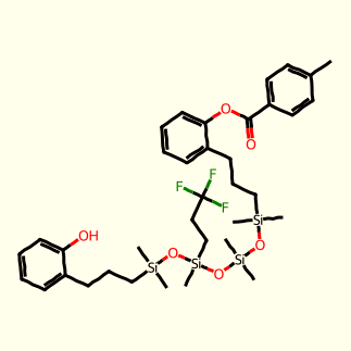 Cc1ccc(C(=O)Oc2ccccc2CCC[Si](C)(C)O[Si](C)(C)O[Si](C)(CCC(F)(F)F)O[Si](C)(C)CCCc2ccccc2O)cc1